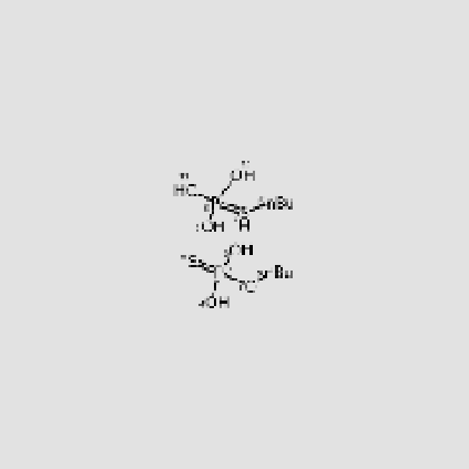 CCCCOP(O)(O)=S.CCCC[SH]=P(O)(O)O